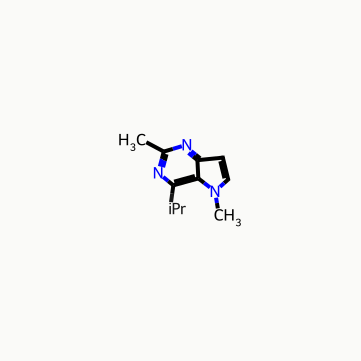 Cc1nc(C(C)C)c2c(ccn2C)n1